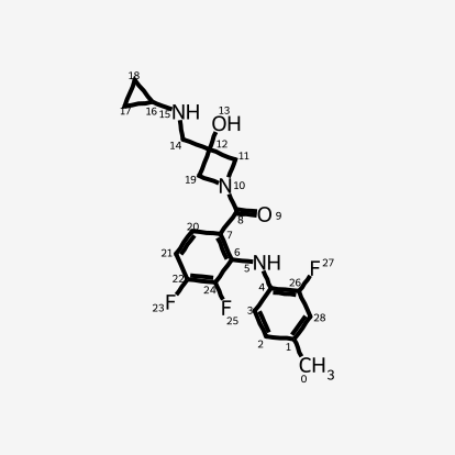 Cc1ccc(Nc2c(C(=O)N3CC(O)(CNC4CC4)C3)ccc(F)c2F)c(F)c1